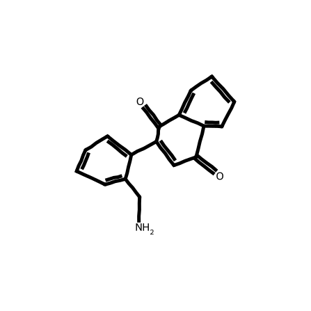 NCc1ccccc1C1=CC(=O)c2ccccc2C1=O